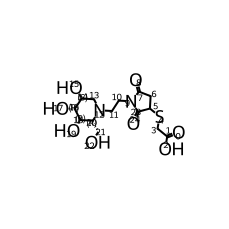 O=C(O)CSC1CC(=O)N(CCN2C[C@H](O)[C@@H](O)[C@H](O)[C@H]2CO)C1=O